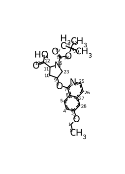 CCOc1ccc2c(OC3CC(C(=O)O)N(C(=O)OC(C)(C)C)C3)nccc2c1